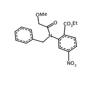 CCOC(=O)c1ccc([N+](=O)[O-])cc1N(Cc1ccccc1)C(=O)COC